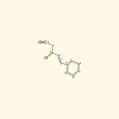 O=[C]CC(=O)/C=C/c1ccccc1